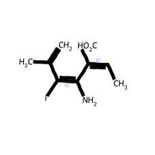 C=C(C)/C(I)=C(N)\C(=C/C)C(=O)O